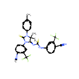 [C-]#[N+]c1ccc(N2C(=S)N(c3ccc(C)cc3)C(C)(C)C2=NC(=S)Nc2ccc(C#N)c(C(F)(F)F)c2)cc1C(F)(F)F